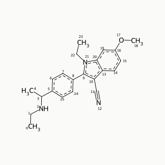 CCNC(C)c1ccc(-c2c(C#N)c3ccc(OC)cc3n2CC)cc1